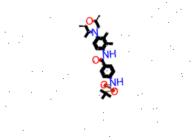 Cc1c(NC(=O)c2ccc(NS(=O)(=O)C(C)(C)C)cc2)ccc(N2C[C@H](C)O[C@H](C)C2C)c1C